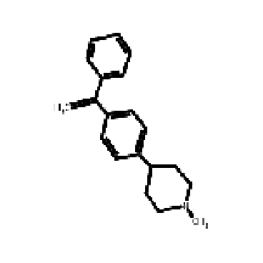 C=C(c1ccccc1)c1ccc(C2CCN(C)CC2)cc1